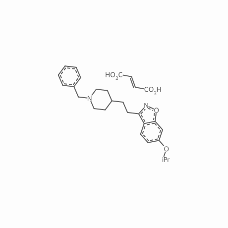 CC(C)Oc1ccc2c(CCC3CCN(Cc4ccccc4)CC3)noc2c1.O=C(O)/C=C/C(=O)O